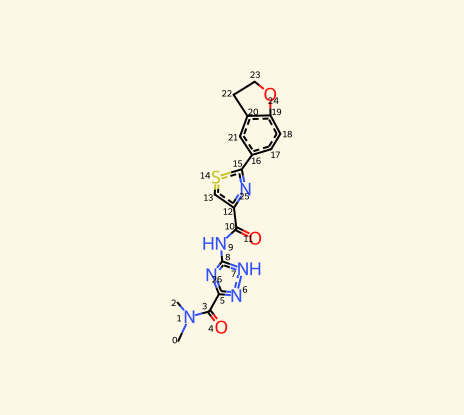 CN(C)C(=O)c1n[nH]c(NC(=O)c2csc(-c3ccc4c(c3)CCO4)n2)n1